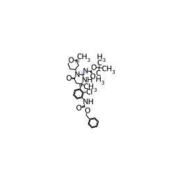 C[C@@H]1CC(N2C(=O)C[C@@](C)(c3cccc(NC(=O)OCc4ccccc4)c3Cl)N/C2=N\C(=O)OC(C)(C)C)CCO1